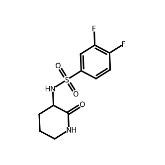 O=C1NCCCC1NS(=O)(=O)c1ccc(F)c(F)c1